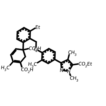 CCOC(=O)c1c(C)c(-c2ccc(OCc3c(CC)cccc3C3(C(=O)O)C=CC(C)=C(C(=O)O)C3)c(C)c2)nn1C